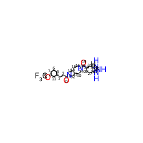 O=C(/C=C/c1cccc(OC(F)(F)F)c1)N1C=C2C=C[N+](C(=O)C3=C[C@H]4NNNC4CC3)=CC=C2C1